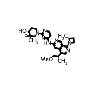 COC[C@@H](C)c1cnc(N2CC[C@H]2C)c2cnc(Nc3ccnc(N4CC[C@@H](O)[C@@](C)(F)C4)n3)cc12